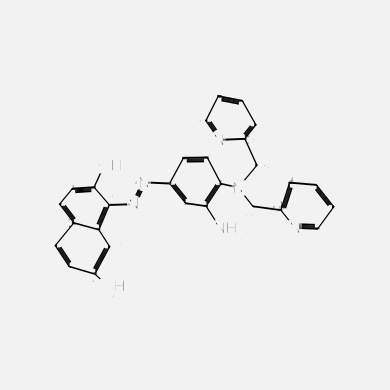 Nc1cc(/N=N/c2c(O)ccc3ccc(O)cc23)ccc1N(Cc1ccccn1)Cc1ccccn1